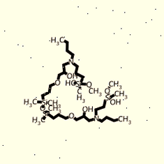 CCCCN(CCC[Si](C)(O)OC)CC(O)COCCC[Si](C)(C)O[Si](C)(C)CCCOCC(O)CN(CCCC)CCC[Si](C)(O)OC